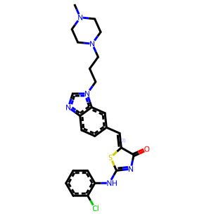 CN1CCN(CCCn2cnc3ccc(/C=C4\SC(Nc5ccccc5Cl)=NC4=O)cc32)CC1